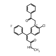 CNC(=O)C=C(c1ccccc1)c1ccc(Cl)[n+](CC(=O)c2ccccc2)c1.[I-]